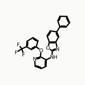 FC(F)(F)c1cccc(Oc2ncccc2Nc2nc3cc(-c4ccccc4)ccc3o2)c1